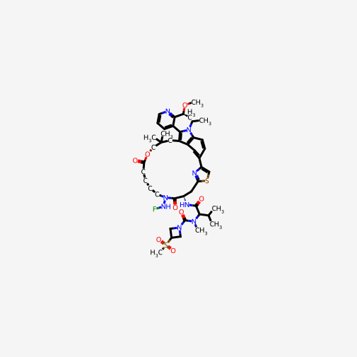 CCn1c(-c2cccnc2[C@H](C)OC)c2c3cc(ccc31)-c1csc(n1)C[C@H](NC(=O)C(C(C)C)N(C)C(=O)N1CC(S(C)(=O)=O)C1)C(=O)N(NF)CCCCC(=O)OCC(C)(C)C2